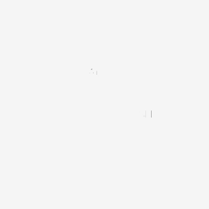 Sc1ccccc1.[Au]